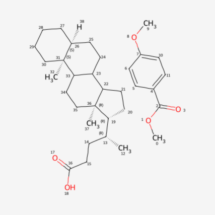 COC(=O)c1ccc(OC)cc1.C[C@H](CCC(=O)O)[C@H]1CCC2C3CC[C@@H]4CCCC[C@]4(C)C3CC[C@@]21C